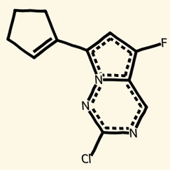 Fc1cc(C2=CCCC2)n2nc(Cl)ncc12